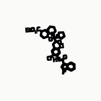 CCOC(=O)[C@H]1CC[C@H](OC(C(=O)Cc2cc(Cl)c(NC(=O)c3cn(C)c4ccccc34)cc2Cl)(N2CCCCC2)N2CCCC2)CC1